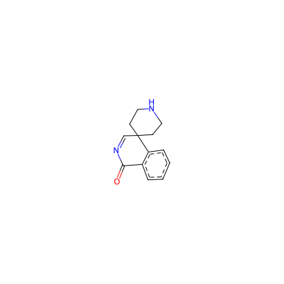 O=C1N=CC2(CCNCC2)c2ccccc21